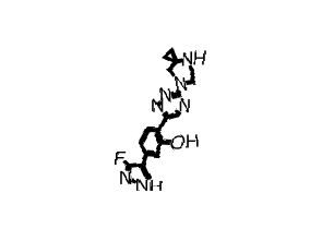 Oc1cc(-c2c[nH]nc2F)ccc1-c1cnc(N2CCNC3(CC3)C2)nn1